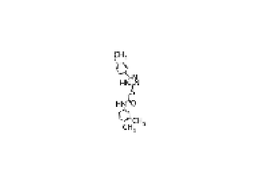 CCc1ccc(-c2nnc(SCC(=O)Nc3ccc(C)c(C)c3)[nH]2)cc1